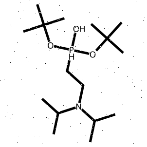 CC(C)N(CC[PH](O)(OC(C)(C)C)OC(C)(C)C)C(C)C